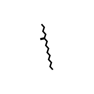 [CH2]CCCCCCCCC(=C)CCCC